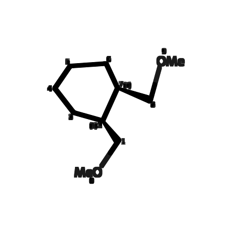 COC[C@H]1CCCC[C@H]1COC